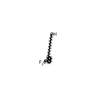 OCCCCCCCCCCCCCCCc1ccc2cccc(OC(F)(F)F)c2n1